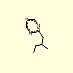 CCC(C)Cc1ncncn1